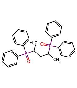 CC(CC(C)P(=O)(c1ccccc1)c1ccccc1)P(=O)(c1ccccc1)c1ccccc1